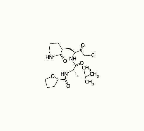 CC(C)(C)C[C@H](NC(=O)[C@H]1CCCO1)C(=O)N[C@@H](C[C@@H]1CCCNC1=O)C(=O)CCl